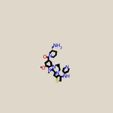 COc1cc(C(=O)N2CCC[C@@H](CN)C2)cc2nc(-c3cc4scc(Nc5ccncc5)c4n3CC3CC3)n(C)c12